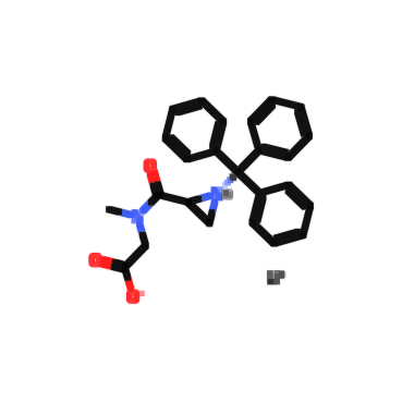 CN(CC(=O)[O-])C(=O)C1C[N@@]1C(c1ccccc1)(c1ccccc1)c1ccccc1.[Li+]